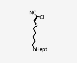 CCCCCCCCCCCCS/C=C(\Cl)C#N